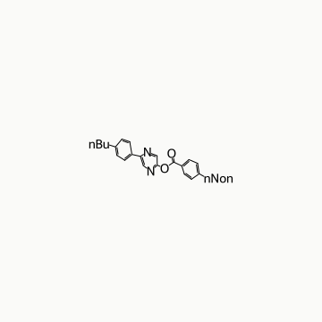 CCCCCCCCCc1ccc(C(=O)Oc2cnc(-c3ccc(CCCC)cc3)cn2)cc1